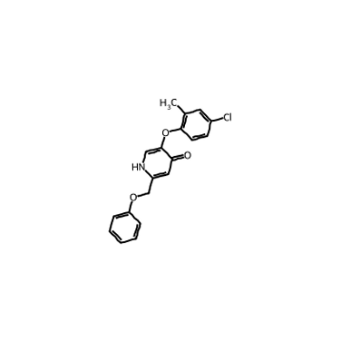 Cc1cc(Cl)ccc1Oc1c[nH]c(COc2ccccc2)cc1=O